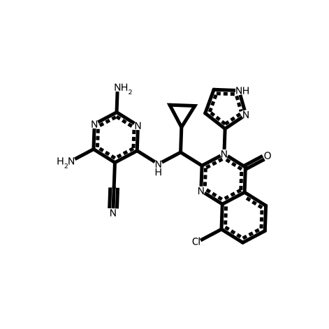 N#Cc1c(N)nc(N)nc1NC(c1nc2c(Cl)cccc2c(=O)n1-c1cc[nH]n1)C1CC1